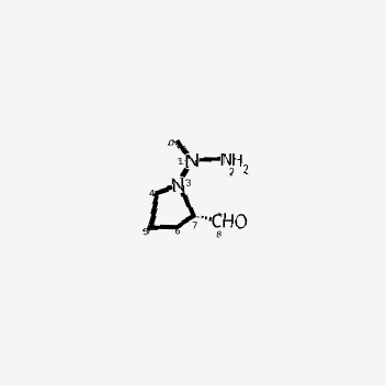 CN(N)N1CCC[C@H]1C=O